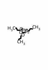 CCCCOCC(OCCCC)(OCCCC)[PH2]=O